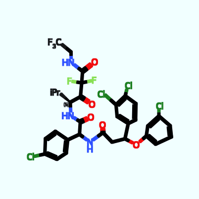 CC(C)[C@H](NC(=O)C(NC(=O)CC(Oc1cccc(Cl)c1)c1ccc(Cl)c(Cl)c1)c1ccc(Cl)cc1)C(=O)C(F)(F)C(=O)NCC(F)(F)F